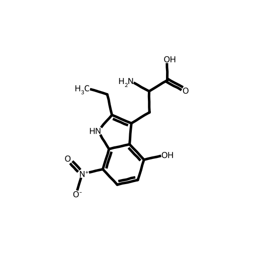 CCc1[nH]c2c([N+](=O)[O-])ccc(O)c2c1CC(N)C(=O)O